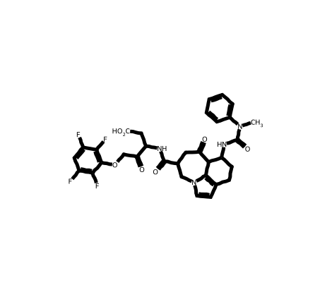 CN(C(=O)NC1CCc2ccn3c2C1C(=O)CC(C(=O)NC(CC(=O)O)C(=O)COc1c(F)c(F)cc(F)c1F)C3)c1ccccc1